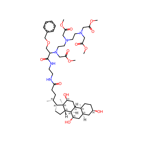 COC(=O)CN(CCN(CC(=O)OC)CC(=O)OC)CCN(CC(=O)OC)C(COCc1ccccc1)C(=O)NCCNC(=O)CC[C@@H](C)[C@H]1CC[C@H]2[C@@H]3[C@H](O)C[C@@H]4C[C@H](O)CC[C@]4(C)[C@H]3C[C@H](O)[C@]12C